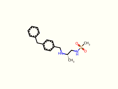 C[C@@H](CNS(C)(=O)=O)NCc1ccc(Cc2ccccc2)cc1